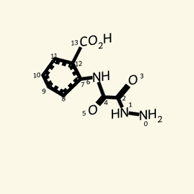 NNC(=O)C(=O)Nc1ccccc1C(=O)O